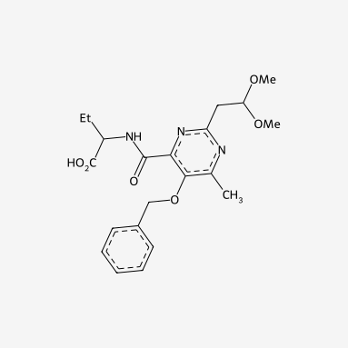 CCC(NC(=O)c1nc(CC(OC)OC)nc(C)c1OCc1ccccc1)C(=O)O